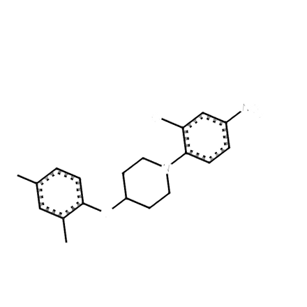 Cc1cc(F)ccc1OC1CCN(c2ccc([N+](=O)[O-])cc2Cl)CC1